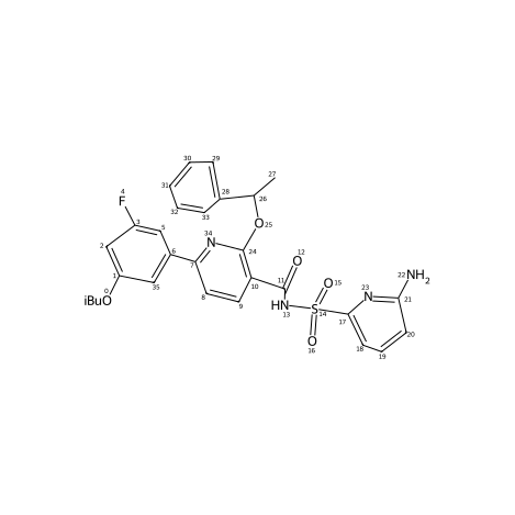 CC(C)COc1cc(F)cc(-c2ccc(C(=O)NS(=O)(=O)c3cccc(N)n3)c(OC(C)c3ccccc3)n2)c1